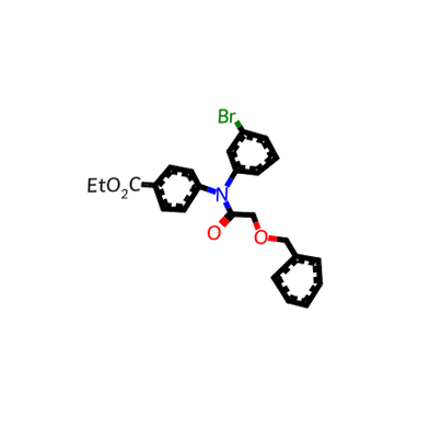 CCOC(=O)c1ccc(N(C(=O)COCc2ccccc2)c2cccc(Br)c2)cc1